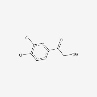 CC(C)(C)CC(=O)c1ccc(Cl)c(Cl)c1